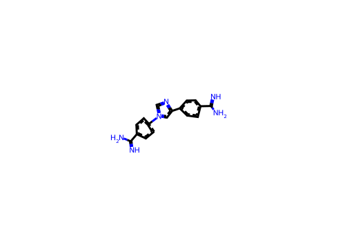 N=C(N)c1ccc(-c2cn(-c3ccc(C(=N)N)cc3)cn2)cc1